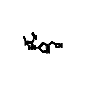 C=N/C(=N\C)Nc1cnn(CC#N)c1